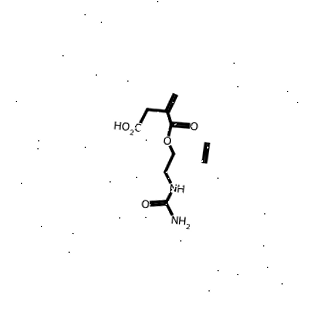 C=C.C=C(CC(=O)O)C(=O)OCCNC(N)=O